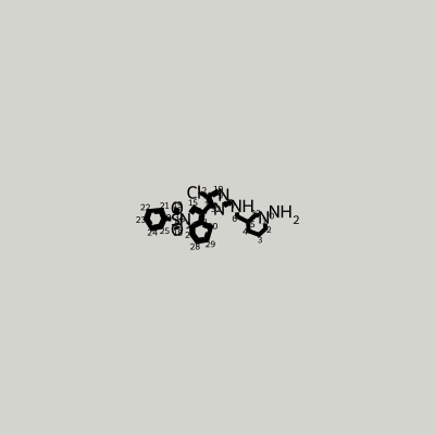 NN1CCCC(CNc2ncc(Cl)c(-c3cn(S(=O)(=O)c4ccccc4)c4ccccc34)n2)C1